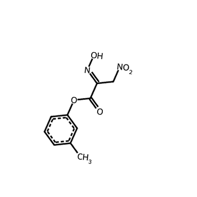 Cc1cccc(OC(=O)C(C[N+](=O)[O-])=NO)c1